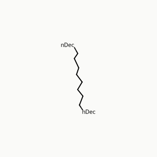 CCCCC[CH]CCCCCCCCCCCCCCCCCCCCCC